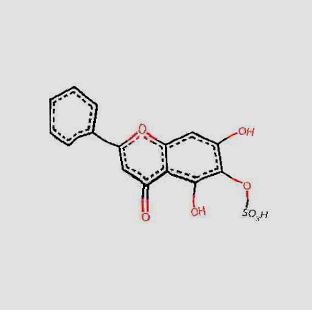 O=c1cc(-c2ccccc2)oc2cc(O)c(OS(=O)(=O)O)c(O)c12